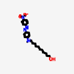 CN(CCCCCCCCCCCO)c1ccc(/N=N/c2ccc([N+](=O)[O-])cc2)cc1